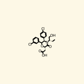 CC[C@@H](CO)N1C(=O)[C@H](CC(=O)O)OC(c2cccc(Cl)c2)[C@H]1c1ccc(Cl)cc1